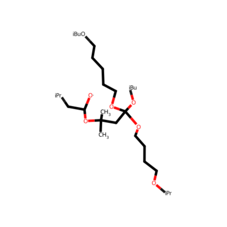 CCC(C)OC(CC(C)(C)OC([O])CC(C)C)(OCCCCCOCC(C)C)OCCCCOC(C)C